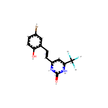 O=c1nc(/C=C/c2cc(Br)ccc2O)cc(C(F)(F)F)[nH]1